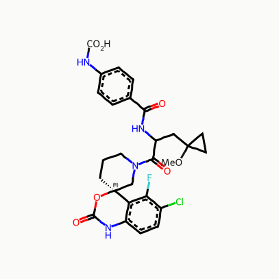 COC1(CC(NC(=O)c2ccc(NC(=O)O)cc2)C(=O)N2CCC[C@@]3(C2)OC(=O)Nc2ccc(Cl)c(F)c23)CC1